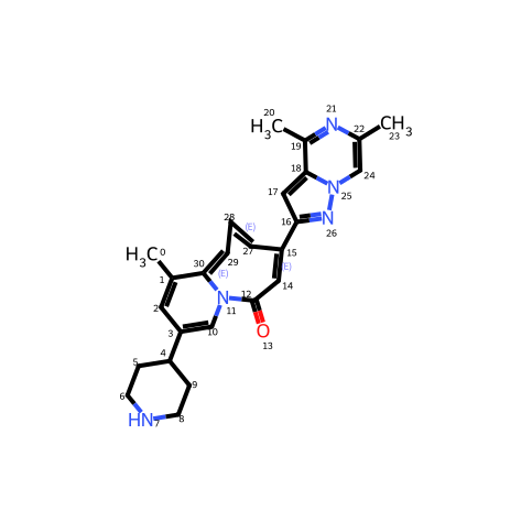 CC1=CC(C2CCNCC2)=CN2C(=O)\C=C(c3cc4c(C)nc(C)cn4n3)/C=C/C=C\12